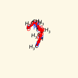 COc1cc2c(cc1OCCCOc1cc3c(cc1OC)C(=O)N1C=C(c4ccc(N5CCN(C)CC5)cc4)C[C@H]1C=N3)N=C[C@@H]1CC(c3ccc(NC(=O)[C@H](C)NC(=O)C(NC(=O)CCCCCN4C(=O)C=CC4=O)C(C)C)cc3)=CN1C2=O